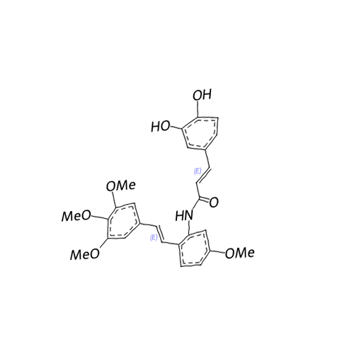 COc1ccc(/C=C/c2cc(OC)c(OC)c(OC)c2)c(NC(=O)/C=C/c2ccc(O)c(O)c2)c1